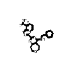 NC(=O)c1cccn2c(-c3nc4c(c(NCc5ccccc5)n3)CCOCC4)ncc12